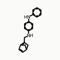 C1=CC2CC1=C(CNc1ccc(Nc3ccccc3)cc1)C2